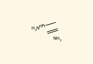 C=C.CCCC.N.N